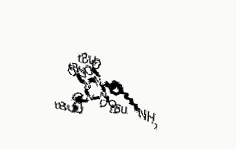 CC(C)(C)OC(=O)CN1CCN(CC(=O)OC(C)(C)C)CCN(CC(=O)OC(C)(C)C)[C@@H](Cc2ccc(CCCCCCN)cc2)CN(CC(=O)OC(C)(C)C)CC1